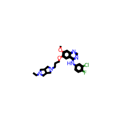 CCN1CC2CN(CCCOc3cc4c(Nc5ccc(F)c(Cl)c5)ncnc4cc3OC)CC2C1